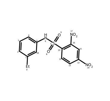 CCc1cccc(NS(=O)(=O)c2ccc([N+](=O)[O-])cc2[N+](=O)[O-])c1